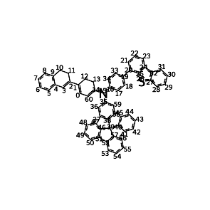 C1=C(C2=Cc3ccccc3CC2)CCC(N(c2ccc(-c3cccc4c3sc3ccccc34)cc2)c2ccc(C3(c4ccccc4)c4ccccc4-c4ccccc43)cc2)=C1